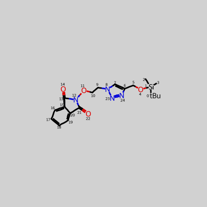 CC(C)(C)[Si](C)(C)OCc1cn(CCON2C(=O)c3ccccc3C2=O)nn1